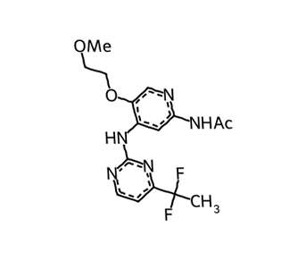 COCCOc1cnc(NC(C)=O)cc1Nc1nccc(C(C)(F)F)n1